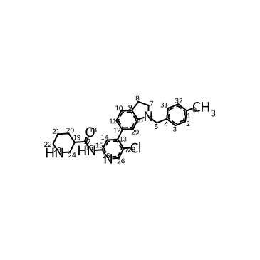 Cc1ccc(CN2CCc3ccc(-c4cc(NC(=O)C5CCCNC5)ncc4Cl)cc32)cc1